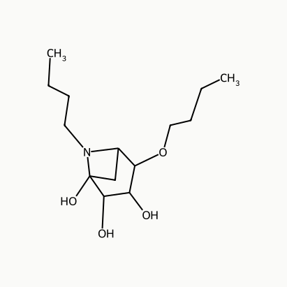 CCCCOC1C(O)C(O)C2(O)CC1N2CCCC